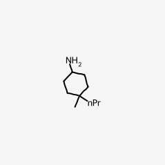 CCCC1(C)CCC(N)CC1